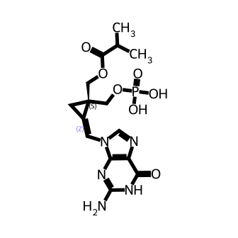 CC(C)C(=O)OC[C@]1(COP(=O)(O)O)C/C1=C/n1cnc2c(=O)[nH]c(N)nc21